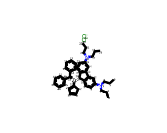 CCCN(CCC)c1ccc2c(c1)-c1cc(N(CCC)CCC)ccc1[CH]2[Zr+2]([C]1=CC=CC1)=[C](c1ccccc1)c1ccccc1.[Cl-].[Cl-]